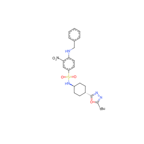 CC(C)(C)c1nnc([C@H]2CC[C@H](NS(=O)(=O)c3ccc(NCc4ccccc4)c([N+](=O)[O-])c3)CC2)o1